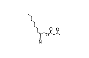 CCCCCCC=C(C#N)COC(=O)CC(C)=O